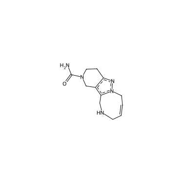 NC(=O)N1CCc2nn3c(c2C1)CNCC=CC3